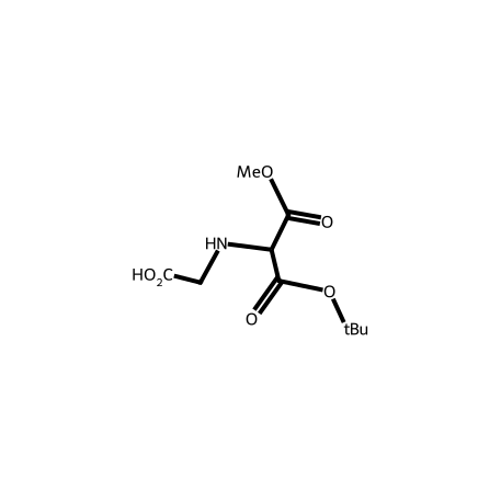 COC(=O)C(NCC(=O)O)C(=O)OC(C)(C)C